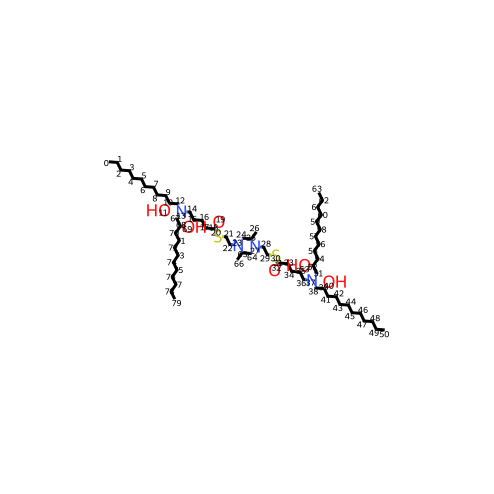 CCCCCCCCCCC(O)CN(CCCCC(=O)SCCN1CC(C)N(CCSC(=O)CCCCN(CC(O)CCCCCCCCCC)CC(O)CCCCCCCCCC)CC1C)CC(O)CCCCCCCCCC